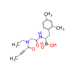 CC#CC(=O)N(CC)CC(=O)NC(Cc1ccc(C)cc1C)B(O)O